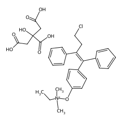 CC[N+](C)(C)Oc1ccc(C(=C(CCCl)c2ccccc2)c2ccccc2)cc1.O=C(O)CC(O)(CC(=O)O)C(=O)O